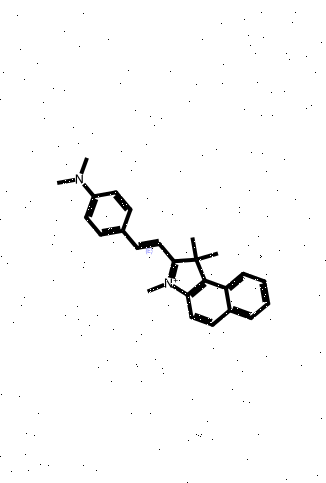 CN(C)c1ccc(/C=C/C2=[N+](C)c3ccc4ccccc4c3C2(C)C)cc1